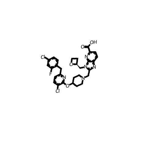 O=C(O)c1ccc2nc(CN3CCC(Oc4nc(Cc5ccc(Cl)cc5F)ccc4Cl)CC3)n(C[C@@H]3CCO3)c2n1